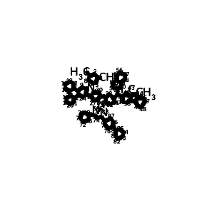 Cc1cc(C)cc(-n2c3cc4c5ccccc5c5ccccc5c4cc3c3cc4c(cc32)c2cc(C(c3ccc5c(c3)C(C)(C)c3ccccc3-5)c3ccc5ccccc5c3)ccc2n4-c2nc(-c3ccccc3)cc(-c3ccc(-c4ccccc4)cc3)n2)c1